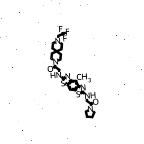 Cc1c2nc(NCC(=O)N3CCCC3)sc2cc2sc(NCC(=O)N3CCC4(CCN(CC(F)(F)F)CC4)CC3)nc12